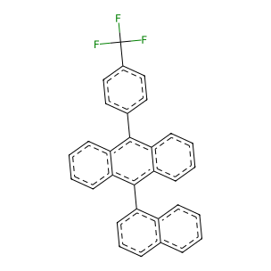 FC(F)(F)c1ccc(-c2c3ccccc3c(-c3cccc4ccccc34)c3ccccc23)cc1